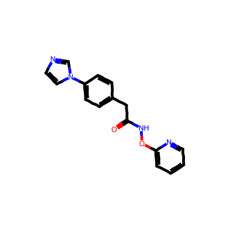 O=C(Cc1ccc(-n2ccnc2)cc1)NOc1ccccn1